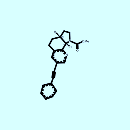 COC(=O)N1CC[C@H]2CCc3cc(C#Cc4ccccc4)cnc3[C@H]21